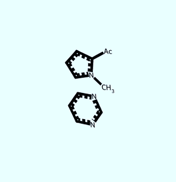 CC(=O)c1cccn1C.c1cncnc1